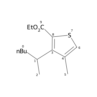 CCCCC(C)c1c(C)csc1C(=O)OCC